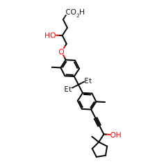 CCC(CC)(c1ccc(C#CC(O)C2(C)CCCC2)c(C)c1)c1ccc(OCC(O)CCC(=O)O)c(C)c1